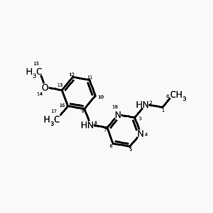 CCNc1nccc(Nc2cccc(OC)c2C)n1